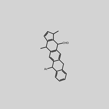 CC(=O)C1c2ccccc2Cc2cc3c(cc21)C(C)C1=C(C(C)C=C1)C3C=O